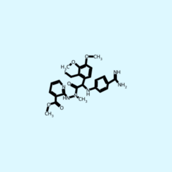 COC(=O)c1cccnc1NN(C)C(=O)C(Nc1ccc(C(=N)N)cc1)c1ccc(OC)c(OC)c1CI